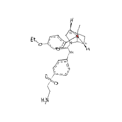 CCOc1ccc(N2C[C@@H]3CC4(C)C3N(C(=O)Nc3ccc(S(=O)(=O)CCN)cc3)C[C@@H]24)cc1